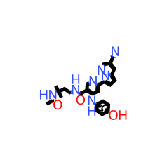 CC(=O)NC(C)(C)CCNC(=O)c1cnc(-c2ccc3cc(C#N)cnn23)cc1NC12CCC(O)(CC1)CC2